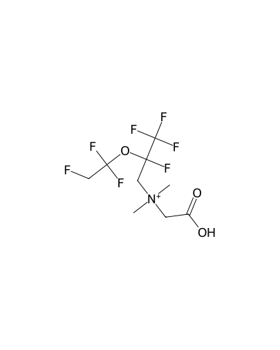 C[N+](C)(CC(=O)O)CC(F)(OC(F)(F)CF)C(F)(F)F